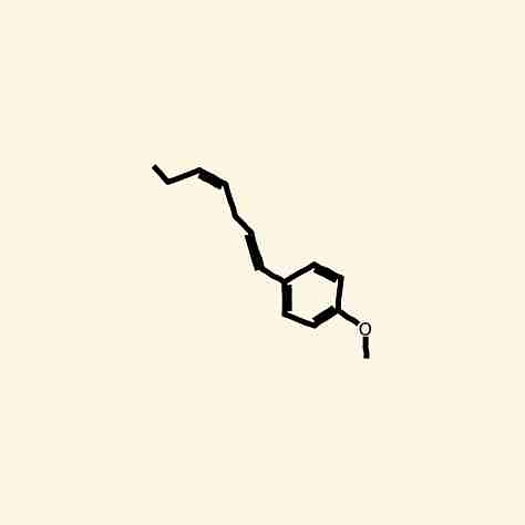 CC/C=C\CC=Cc1ccc(OC)cc1